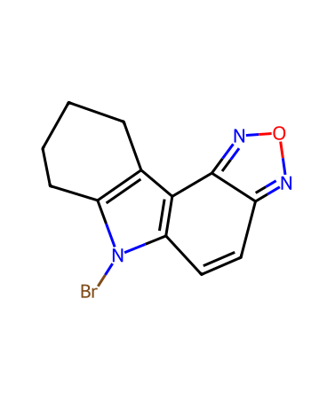 Brn1c2c(c3c4nonc4ccc31)CCCC2